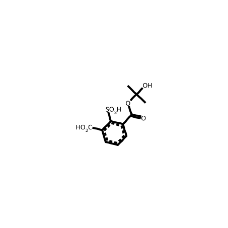 CC(C)(O)OC(=O)c1cccc(C(=O)O)c1S(=O)(=O)O